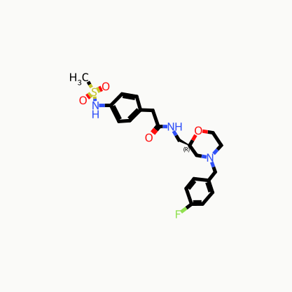 CS(=O)(=O)Nc1ccc(CC(=O)NC[C@@H]2CN(Cc3ccc(F)cc3)CCO2)cc1